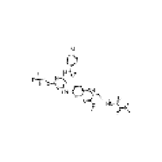 COC(=O)[C@H](CCCNC(=O)C(=O)N(C)C)Nc1ccc(Nc2nc(NC3(c4ccc(Cl)cc4)CC3)nc(OCC(F)(F)F)n2)cc1